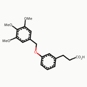 COc1cc(COc2cccc(CCC(=O)O)c2)cc(OC)c1OC